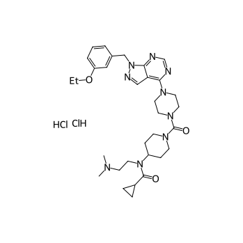 CCOc1cccc(Cn2ncc3c(N4CCN(C(=O)N5CCC(N(CCN(C)C)C(=O)C6CC6)CC5)CC4)ncnc32)c1.Cl.Cl